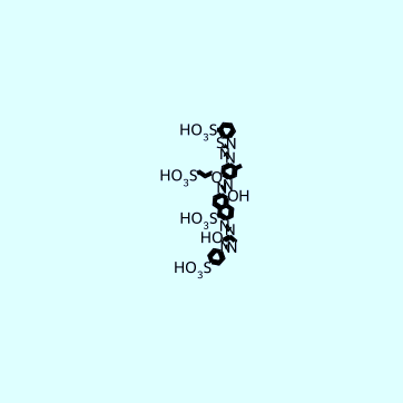 Cc1cc(N=Nc2ccc3c(S(=O)(=O)O)c(N=Nc4cnn(-c5ccc(S(=O)(=O)O)cc5)c4O)ccc3c2O)c(OCCCS(=O)(=O)O)cc1N=Nc1nc2cccc(S(=O)(=O)O)c2s1